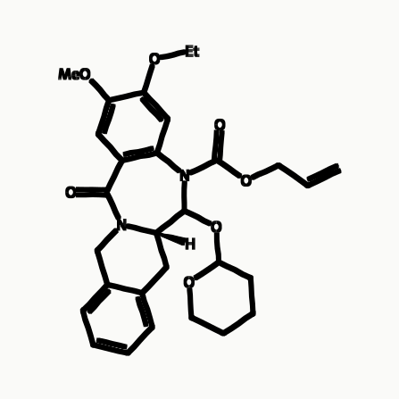 C=CCOC(=O)N1c2cc(OCC)c(OC)cc2C(=O)N2Cc3ccccc3C[C@H]2C1OC1CCCCO1